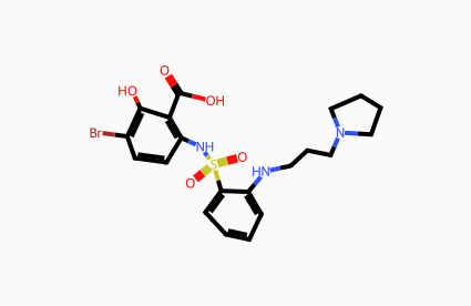 O=C(O)c1c(NS(=O)(=O)c2ccccc2NCCCN2CCCC2)ccc(Br)c1O